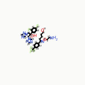 COCCCC/C(=N\OCCN)c1ccc(C(F)(F)F)cc1.OC(Cn1cncn1)(Cn1cncn1)c1ccc(F)cc1F